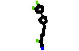 N#CC(F)=CC=CCC[C@H]1CC[C@H](c2ccc(F)c(F)c2)CC1